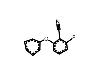 N#Cc1c(F)cccc1Oc1c[c]ccc1